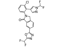 O=C1c2cc(-c3nnc(C(F)F)o3)ccc2CN1c1cccc(Cl)c1-c1cnn(C(F)F)c1